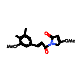 COC1=CC(=O)N(C(=O)/C=C/c2cc(C)c(C)c(OC)c2)C1